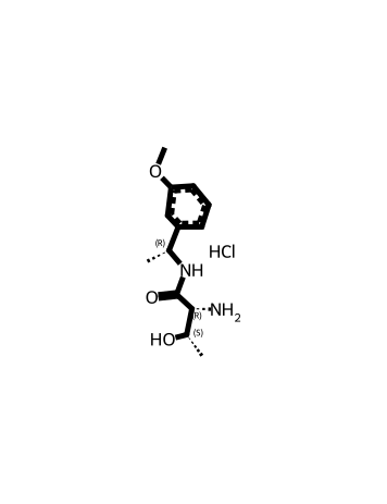 COc1cccc([C@@H](C)NC(=O)[C@H](N)[C@H](C)O)c1.Cl